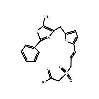 Cc1oc(-c2ccccc2)nc1Cc1ccc(C=CCS(=O)(=O)CC(=O)O)o1